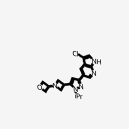 CC(C)n1nc(-c2cnc3[nH]cc(Cl)c3c2)cc1C1CN(C2COC2)C1